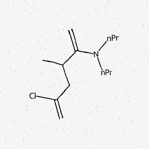 C=C(Cl)CC(C)C(=C)N(CCC)CCC